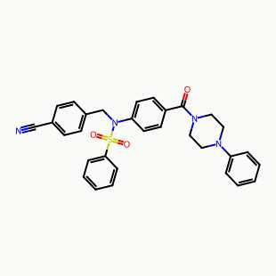 N#Cc1ccc(CN(c2ccc(C(=O)N3CCN(c4ccccc4)CC3)cc2)S(=O)(=O)c2ccccc2)cc1